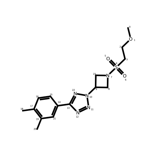 COCCS(=O)(=O)N1CC(n2nnc(-c3ccc(C)c(C)c3)n2)C1